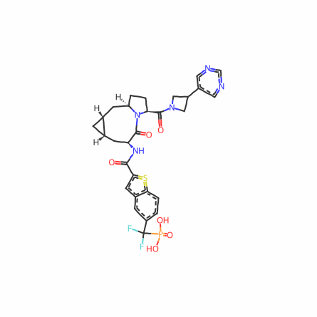 O=C(N[C@H]1C[C@@H]2C[C@@H]2C[C@H]2CC[C@@H](C(=O)N3CC(c4cncnc4)C3)N2C1=O)c1cc2cc(C(F)(F)P(=O)(O)O)ccc2s1